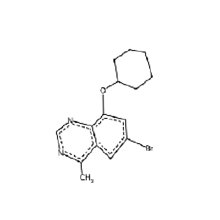 Cc1ncnc2c(OC3CCCCC3)cc(Br)cc12